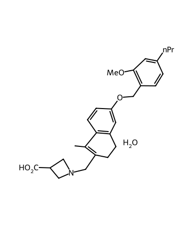 CCCc1ccc(COc2ccc3c(c2)CCC(CN2CC(C(=O)O)C2)=C3C)c(OC)c1.O